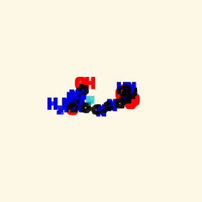 NC(=O)c1nnc(N2CCCC(O)C2)nc1Nc1ccc(C2CCN(CC3CCN(c4ccc5c(c4)C(=O)N(C4C(=O)CCNC4=O)C5=O)C3)CC2)c(F)c1